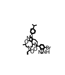 C=CC(=O)N1CC(C)Oc2nn(-c3ccc(C(C)C)cc3)c3c2C(C1)N(C(=O)c1ccc(Br)c2[nH]cnc12)CC3